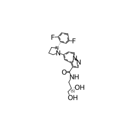 O=C(NC[C@H](O)CO)c1cnn2ccc(N3CCC[C@@H]3c3cc(F)ccc3F)cc12